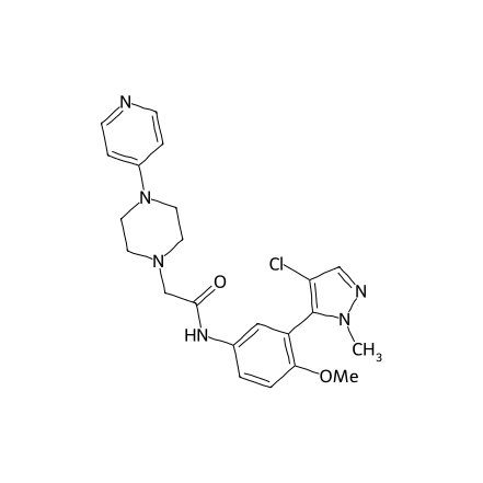 COc1ccc(NC(=O)CN2CCN(c3ccncc3)CC2)cc1-c1c(Cl)cnn1C